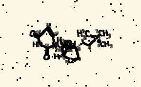 C=P(C)(C)CC[C@@]12CO[C@@H]([C@H](n3ccc(=O)[nH]c3=O)O1)[C@@H]2O